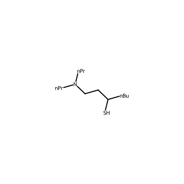 CCCCC(S)CCN(CCC)CCC